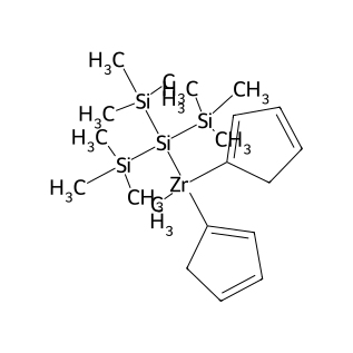 C[Si](C)(C)[Si]([Si](C)(C)C)([Si](C)(C)C)[Zr]([CH3])([C]1=CC=CC1)[C]1=CC=CC1